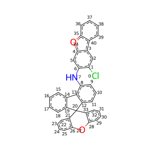 Clc1cc2c(cc1Nc1cccc3c1-c1ccccc1C31c3ccccc3Oc3ccccc31)oc1ccccc12